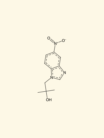 CC(C)(O)Cn1cnc2cc([N+](=O)[O-])ccc21